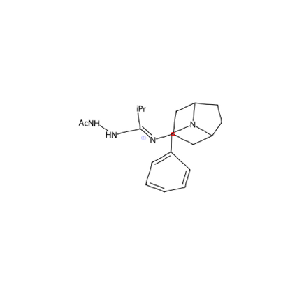 CC(=O)NN/C(=N/C1CC2CCC(C1)N2Cc1ccccc1)C(C)C